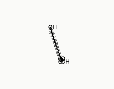 O=S(=O)(O)OCCCCCCCCCCCCCCCCCCO